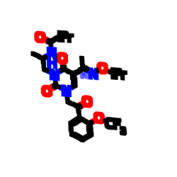 C/C(=N\OC(C)C)c1cn(CC(=O)c2ccccc2OC(F)(F)F)c(=O)n(CC(C)NC(=O)C(C)C)c1=O